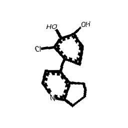 Oc1ccc(-c2ccnc3c2CCC3)c(Cl)c1O